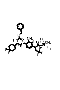 CC(C)(C)OC(=O)C(CC(F)(F)F)c1ccc(NC(=O)[C@@H](NC(=O)OCc2ccccc2)C2CCC(F)(F)CC2)c(N)c1F